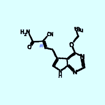 CC(C)(C)COc1ncnc2[nH]cc(C/C=C(\C#N)C(N)=O)c12